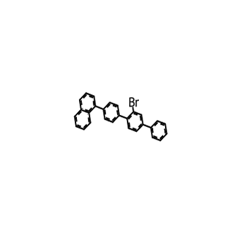 Brc1cc(-c2ccccc2)ccc1-c1ccc(-c2cccc3ccccc23)cc1